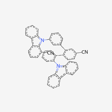 N#Cc1ccc(-c2ccccc2-n2c3ccccc3c3ccccc32)c(-c2cccc(-n3c4ccccc4c4cccc(C#N)c43)c2)c1